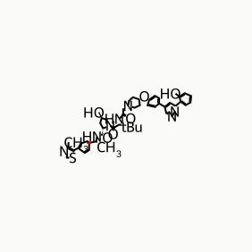 Cc1ncsc1-c1ccc([C@H](C)NC(=O)[C@@H]2C[C@@H](O)CN2C(=O)C(NC(=O)CN2CCC(Oc3ccc(-c4cnnc(-c5ccccc5O)c4)cc3)CC2)C(C)(C)C)cc1